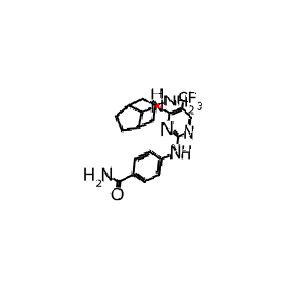 NC(=O)c1ccc(Nc2ncc(C(F)(F)F)c(NC3C4CCC3CC(N)C4)n2)cc1